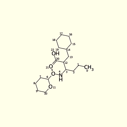 CCCC(NOC1CCCCO1)C(CC1CCCCC1)C(=O)O